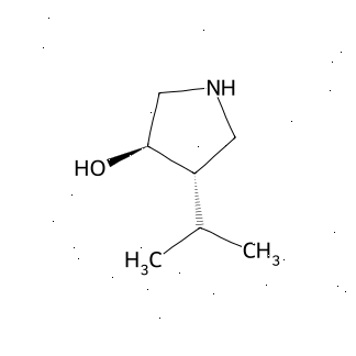 CC(C)[C@H]1CNC[C@@H]1O